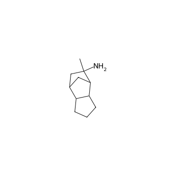 CC1(N)CC2CC1C1CCCC21